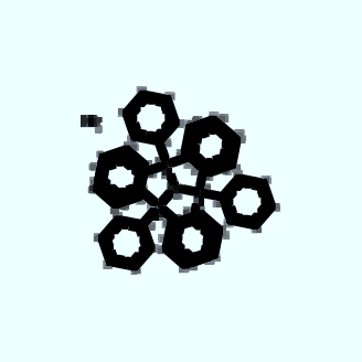 Br.c1ccc([PH](c2ccccc2)(c2ccccc2)[Rh]([PH](c2ccccc2)(c2ccccc2)c2ccccc2)[PH](c2ccccc2)(c2ccccc2)c2ccccc2)cc1